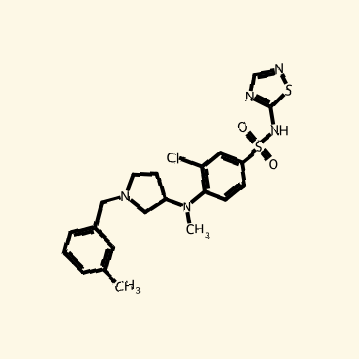 Cc1cccc(CN2CCC(N(C)c3ccc(S(=O)(=O)Nc4ncns4)cc3Cl)C2)c1